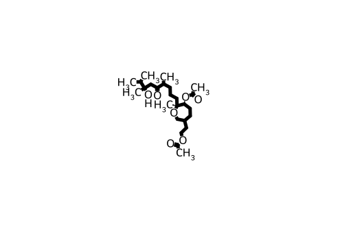 CC(=O)OCCC1CC[C@@H](OC(C)=O)[C@](C)(CCCC(C)C(=O)CC(C)(O)C(C)C)OC1